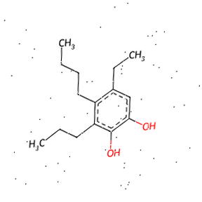 CCCCc1c(CC)cc(O)c(O)c1CCC